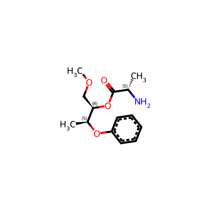 COC[C@@H](OC(=O)[C@H](C)N)[C@H](C)Oc1ccccc1